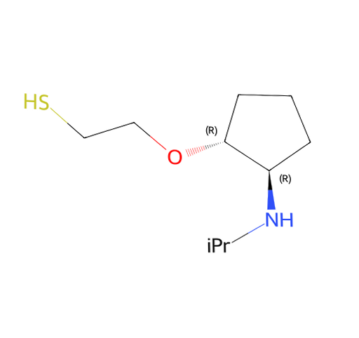 CC(C)N[C@@H]1CCC[C@H]1OCCS